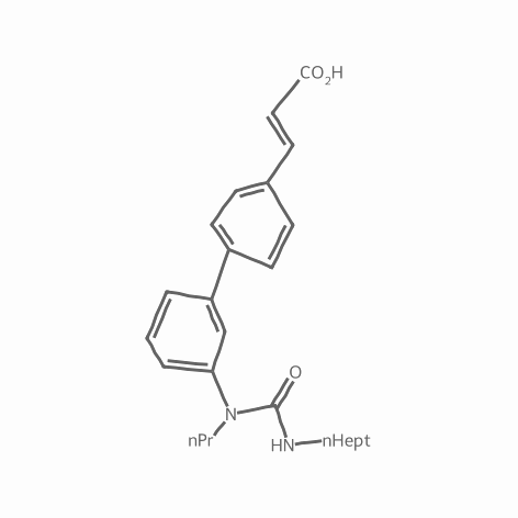 CCCCCCCNC(=O)N(CCC)c1cccc(-c2ccc(/C=C/C(=O)O)cc2)c1